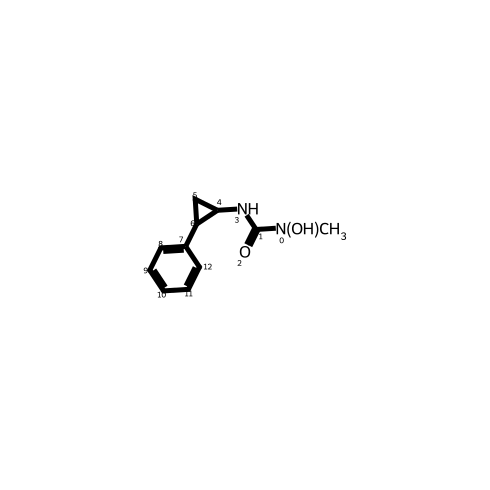 CN(O)C(=O)NC1CC1c1ccccc1